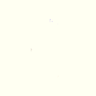 Nc1ccc([S-])cc1.[K+]